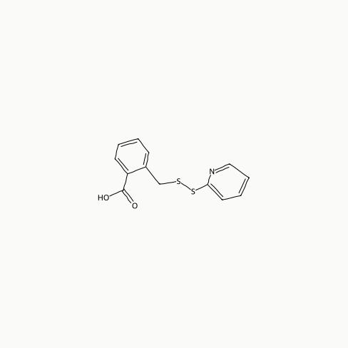 O=C(O)c1ccccc1CSSc1ccccn1